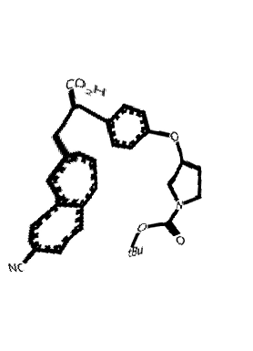 CC(C)(C)OC(=O)N1CCC(Oc2ccc(C(Cc3ccc4ccc(C#N)cc4c3)C(=O)O)cc2)C1